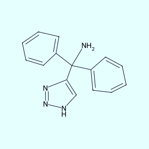 NC(c1ccccc1)(c1ccccc1)c1c[nH]nn1